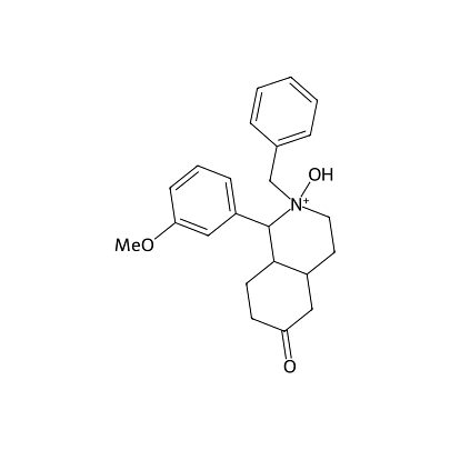 COc1cccc(C2C3CCC(=O)CC3CC[N+]2(O)Cc2ccccc2)c1